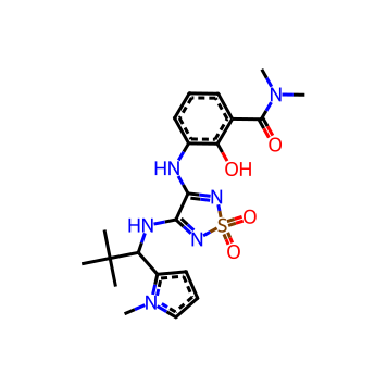 CN(C)C(=O)c1cccc(NC2=NS(=O)(=O)N=C2NC(c2cccn2C)C(C)(C)C)c1O